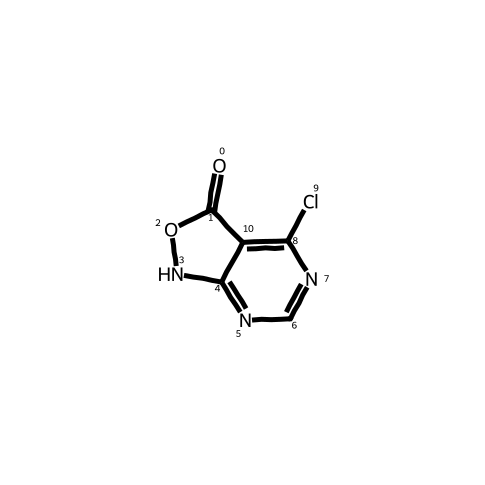 O=c1o[nH]c2ncnc(Cl)c12